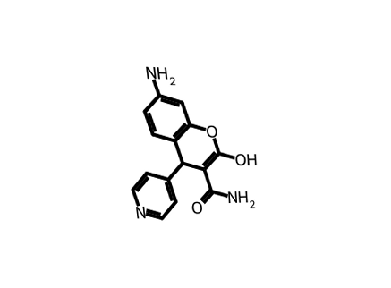 NC(=O)C1=C(O)Oc2cc(N)ccc2C1c1ccncc1